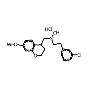 COc1ccc2c(c1)OCCC2CN(C)CCc1cccc(Cl)c1.Cl